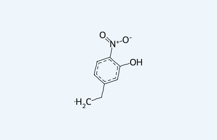 [CH2]Cc1ccc([N+](=O)[O-])c(O)c1